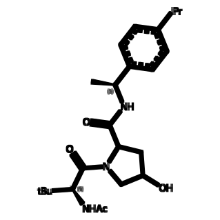 CC(=O)N[C@H](C(=O)N1CC(O)CC1C(=O)N[C@@H](C)c1ccc(C(C)C)cc1)C(C)(C)C